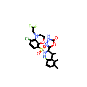 Cc1ccc(F)c(C(C)C(NS(=O)(=O)c2ccc(Cl)c3c2OCCN3CC(F)F)c2n[nH]c(=O)o2)c1C